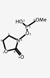 COP(O)ON1CCOC1=O